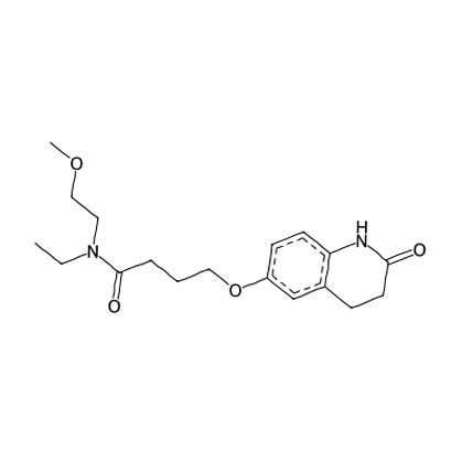 CCN(CCOC)C(=O)CCCOc1ccc2c(c1)CCC(=O)N2